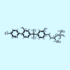 CCc1ccc(-c2ccc(C(CC)(CC)c3ccc(CCC(O[Si](C)(C)C(C)(C)C)C(C)(C)C)c(C)c3)cc2C)nc1